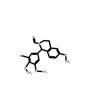 COc1ccc2c(c1)CCN(C=O)C2c1cc(Cl)c(OC)c(OC)c1